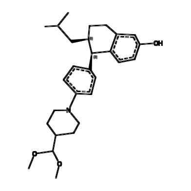 COC(OC)C1CCN(c2ccc([C@@H]3c4ccc(O)cc4CC[C@@H]3CC(C)C)cc2)CC1